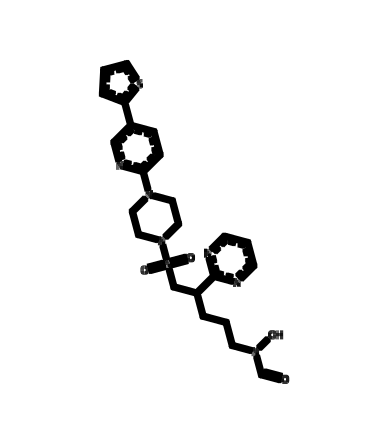 O=CN(O)CCCC(CS(=O)(=O)N1CCN(c2ccc(-c3cccs3)cn2)CC1)c1ncccn1